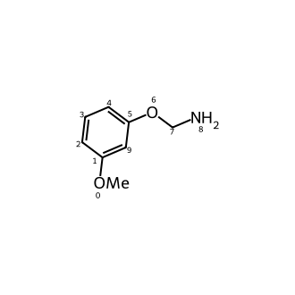 COc1cccc(OCN)c1